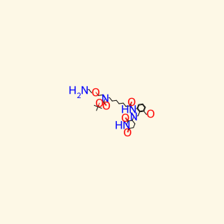 CN(Cc1c(C=O)cccc1NC(=O)CCCCCCN(CCOCCN)C(=O)OC(C)(C)C)C1CCC(=O)NC1=O